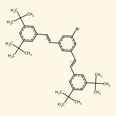 CC(C)(C)c1cc(/C=C/c2cc(Br)cc(/C=C/c3cc(C(C)(C)C)cc(C(C)(C)C)c3)c2)cc(C(C)(C)C)c1